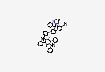 C#C/C=C(\C=C/C)C1(c2ccccc2)c2cc(-c3cccc(-c4nc5ccccc5c5c(C)c6c(-c7ccccc7)nc7ccccc7c6c(C)c45)c3)ccc2C2C=CC(C#N)=CC21C